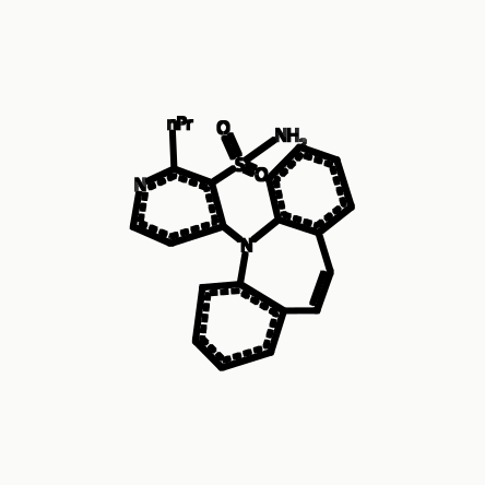 CCCc1nccc(N2c3ccccc3C=Cc3ccccc32)c1S(N)(=O)=O